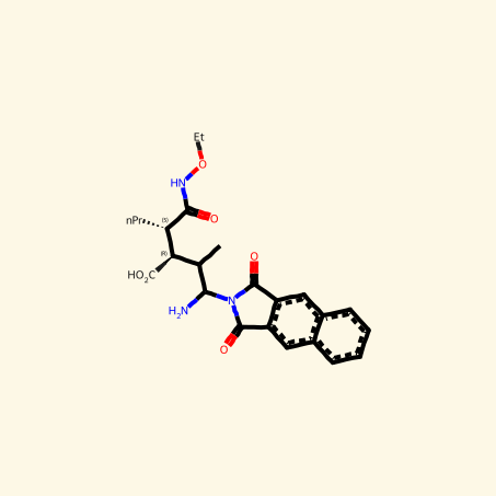 CCC[C@H](C(=O)NOCC)[C@H](C(=O)O)C(C)C(N)N1C(=O)c2cc3ccccc3cc2C1=O